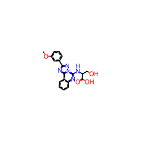 COc1cccc(-c2nc3c4ccccc4nc(NC(CO)C(=O)O)n3n2)c1